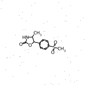 CC1NC(=O)OC1c1ccc(S(C)(=O)=O)cc1